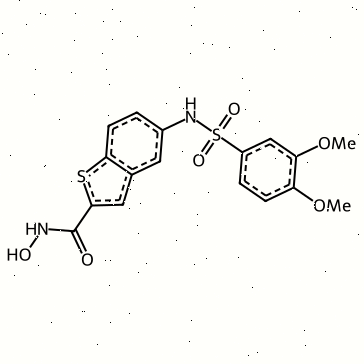 COc1ccc(S(=O)(=O)Nc2ccc3sc(C(=O)NO)cc3c2)cc1OC